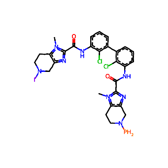 Cn1c(C(=O)Nc2cccc(-c3cccc(NC(=O)c4nc5c(n4C)CCN(I)C5)c3Cl)c2Cl)nc2c1CCN(P)C2